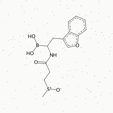 C[S+]([O-])CCC(=O)NC(Cc1coc2ccccc12)B(O)O